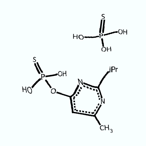 Cc1cc(OP(O)(O)=S)nc(C(C)C)n1.OP(O)(O)=S